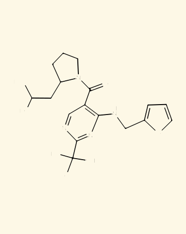 CC(C)CC1CCCN1C(=O)c1cnc(C(C)(C)C)nc1NCc1ccco1